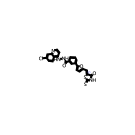 O=C1NC(=S)S/C1=C\c1ccc(-c2cccc(C(=O)NNc3ccnc4cc(Cl)ccc34)c2)o1